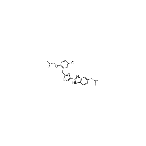 CNCc1ccc2[nH]c(-c3coc(Cc4cc(Cl)ccc4OCC(C)C)n3)nc2c1